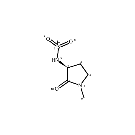 CN1CC[C@H](N[SH](=O)=O)C1=O